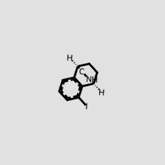 Ic1cccc2c1[C@@H]1CC[C@H]2CN1